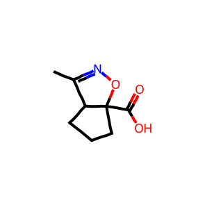 CC1=NOC2(C(=O)O)CCCC12